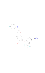 COc1cc(CC2C(=O)Nc3ccc(F)cc32)ccc1Oc1ccc(C#N)cc1C(F)(F)F